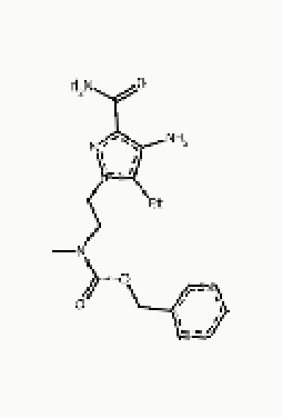 CCc1c(N)c(C(N)=O)nn1CCN(C)C(=O)OCc1ccccc1